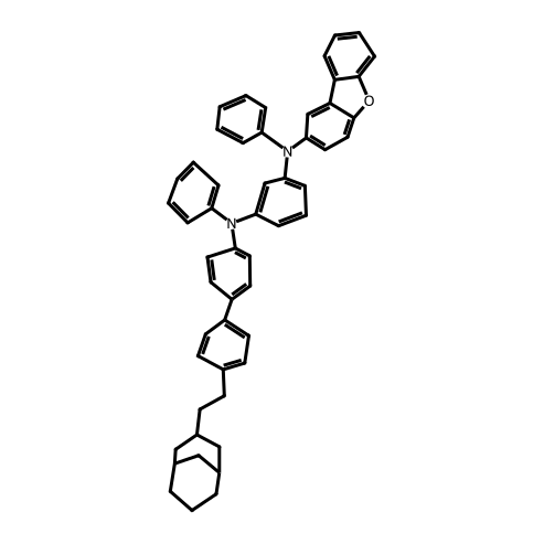 c1ccc(N(c2ccc(-c3ccc(CCC4CC5CCCC(C5)C4)cc3)cc2)c2cccc(N(c3ccccc3)c3ccc4oc5ccccc5c4c3)c2)cc1